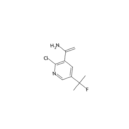 C=C(N)c1cc(C(C)(C)F)cnc1Cl